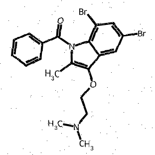 Cc1c(OCCN(C)C)c2cc(Br)cc(Br)c2n1C(=O)c1ccccc1